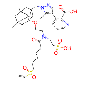 C=CS(=O)(=O)CCCCCC(=O)N(CCOC12CC3(C)CC(C)(CC(Cn4ncc(-c5cccnc5C(=O)O)c4C)(C3)C1)C2)CCS(=O)(=O)O